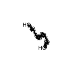 O/N=C/c1ccc(CCCCN2CCOC(C3CN(CCCc4ccc(/C=N/O)s4)CCO3)C2)s1